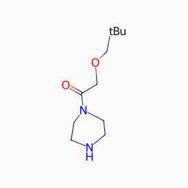 CC(C)(C)COCC(=O)N1CCNCC1